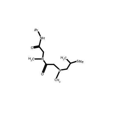 CSC(C)CN(C)CC(=O)N(C)CC(=O)NC(C)C